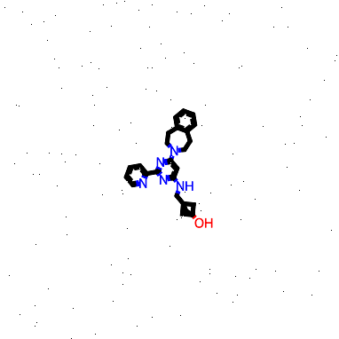 OC12CC(CNc3cc(N4CCc5ccccc5CC4)nc(-c4ccccn4)n3)(C1)C2